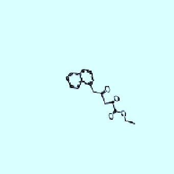 CCOC(=O)C(=O)CC(=O)Cc1cccc2ccccc12